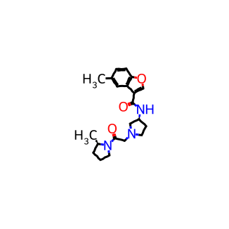 Cc1ccc2occ(C(=O)N[C@H]3CCN(CC(=O)N4CCC[C@H]4C)C3)c2c1